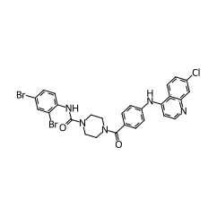 O=C(Nc1ccc(Br)cc1Br)N1CCN(C(=O)c2ccc(Nc3ccnc4cc(Cl)ccc34)cc2)CC1